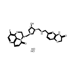 Cl.Cl.O=C1COc2ccc(CNC[C@H]3CN(C[C@@H]4COc5c(F)cnc6ccc(=O)n4c56)C[C@H]3O)nc2N1